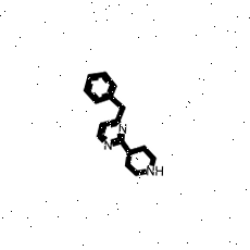 c1ccc(Cc2ccnc(C3CCNCC3)n2)cc1